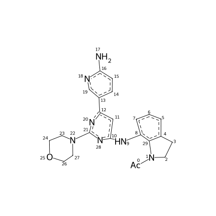 CC(=O)N1CCc2cccc(Nc3cc(-c4ccc(N)nc4)nc(N4CCOCC4)n3)c21